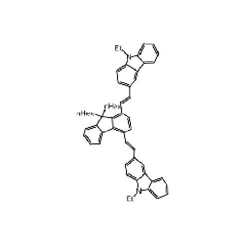 CCCCCCC1(CCCCCC)c2ccccc2-c2c(C=Cc3ccc4c(c3)c3ccccc3n4CC)ccc(C=Cc3ccc4c(c3)c3ccccc3n4CC)c21